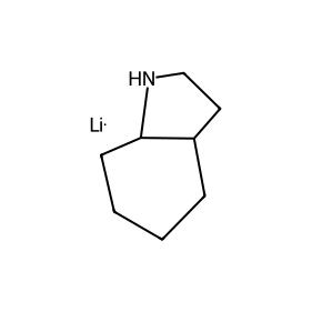 C1CCC2NCCC2C1.[Li]